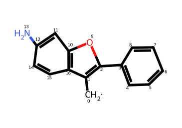 [CH2]c1c(-c2ccccc2)oc2cc(N)ccc12